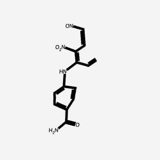 C=C/C(Nc1ccc(C(N)=O)cc1)=C(\C=C/N=O)[N+](=O)[O-]